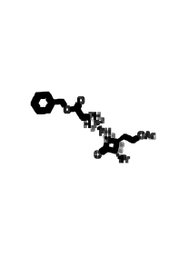 CC(=O)OCC[C@H]1[C@H](C(C)C)C(=O)N1[PH3][PH3][PH2]=CC(=O)OCc1ccccc1